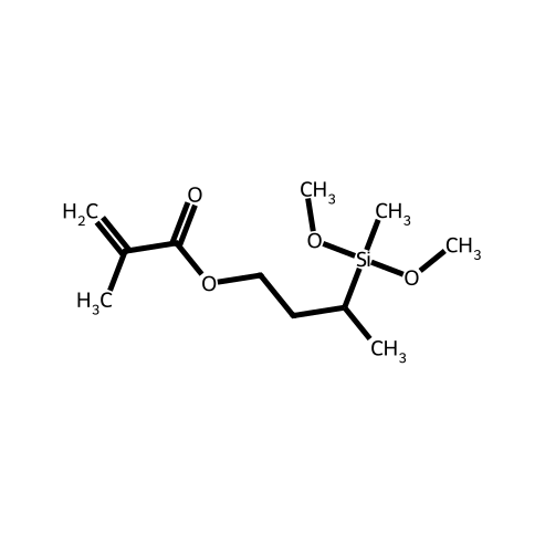 C=C(C)C(=O)OCCC(C)[Si](C)(OC)OC